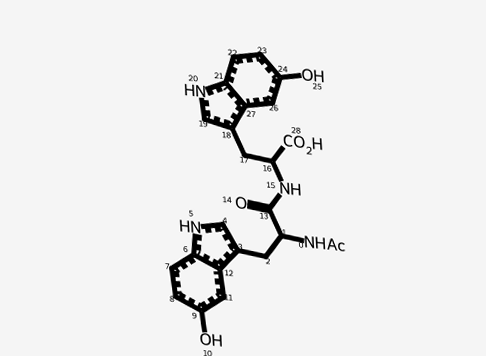 CC(=O)NC(Cc1c[nH]c2ccc(O)cc12)C(=O)NC(Cc1c[nH]c2ccc(O)cc12)C(=O)O